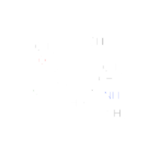 CNC(C)(C)c1cc(Cl)c(OC)cc1C(C)C